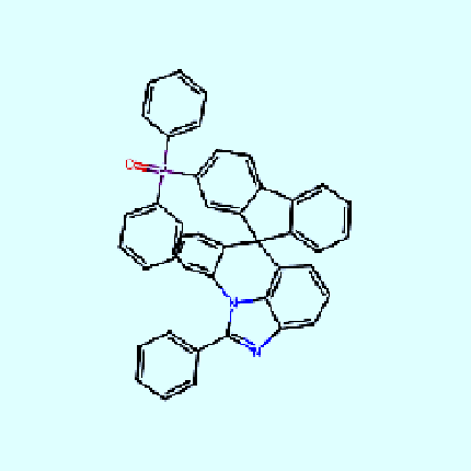 O=P(c1ccccc1)(c1ccccc1)c1ccc2c(c1)C1(c3ccccc3-2)c2ccccc2-n2c(-c3ccccc3)nc3cccc1c32